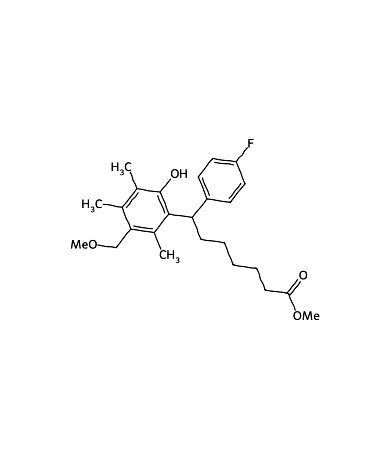 COCc1c(C)c(C)c(O)c(C(CCCCCC(=O)OC)c2ccc(F)cc2)c1C